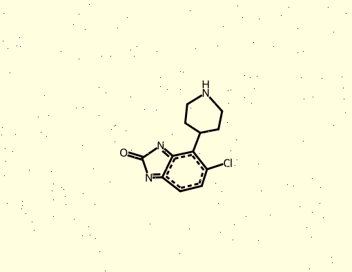 O=C1N=c2ccc(Cl)c(C3CCNCC3)c2=N1